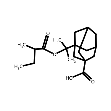 CCC(C)C(=O)OC(C)(C)C12CC3CC(CC(C(=O)O)(C3)C1)C2